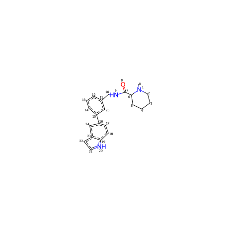 CN1CC[CH]CC1C(=O)NCc1cccc(-c2ccc3[nH]ccc3c2)c1